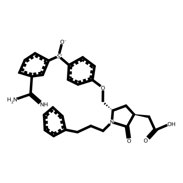 N=C(N)c1cccc([S+]([O-])c2ccc(OC[C@@H]3C[C@@H](CC(=O)O)C(=O)N3CCCc3ccccc3)cc2)c1